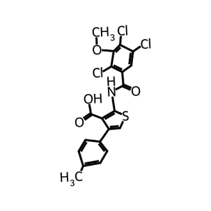 COc1c(Cl)c(Cl)cc(C(=O)Nc2scc(-c3ccc(C)cc3)c2C(=O)O)c1Cl